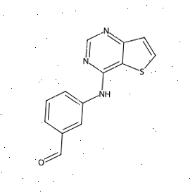 O=Cc1cccc(Nc2ncnc3ccsc23)c1